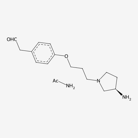 CC(N)=O.N[C@@H]1CCN(CCCOc2ccc(CC=O)cc2)C1